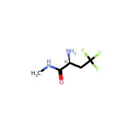 CNC(=O)[C@@H](N)CC(F)(F)F